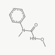 CONC(=O)N(C)c1cc[c]cc1